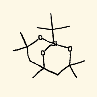 CC1(C)CC2(C)CC(C)(C)O[Si](C(C)(C)C)(O1)O2